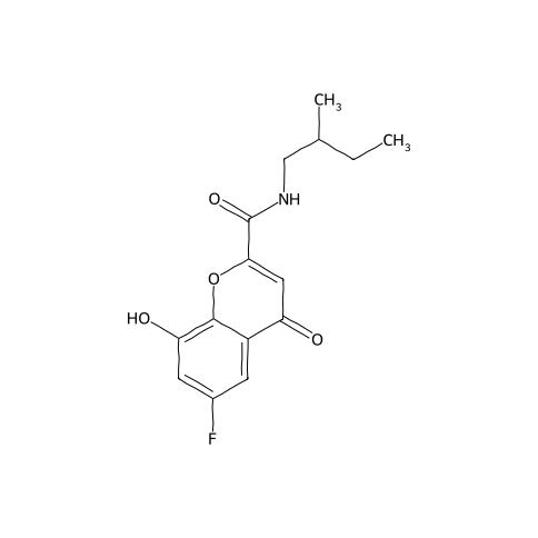 CCC(C)CNC(=O)c1cc(=O)c2cc(F)cc(O)c2o1